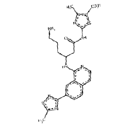 Cc1nc(-c2ccc3ccnc(NC(CCCN)CC(=O)Nc4nc(C)c(C(=O)O)s4)c3c2)no1